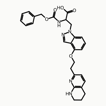 O=C(NC(Cn1ncc2c(OCCc3ccc4c(n3)NCCC4)cccc21)C(=O)O)OCc1ccccc1